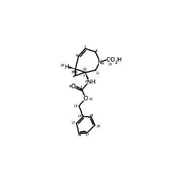 O=C(N[C@@]12C[C@@H]1C=CCN(C(=O)O)C2)OCc1ccccc1